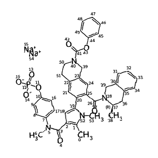 Cc1c(C(=O)N(C)c2ccc(OP(=O)([O-])[O-])cc2)cc(-c2cc3c(cc2C(=O)N2Cc4ccccc4C[C@H]2C)CN(C(=O)Oc2ccccc2)CC3)n1C.[Na+].[Na+]